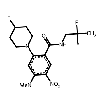 CNc1cc(N2CCC(F)CC2)c(C(=O)NCC(C)(F)F)cc1[N+](=O)[O-]